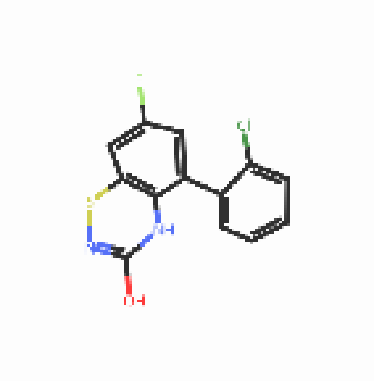 OC1=NSc2cc(F)cc(-c3ccccc3Cl)c2N1